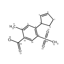 Cc1cc(C2C=CCC2)c(S(C)(=O)=O)cc1C(=O)Cl